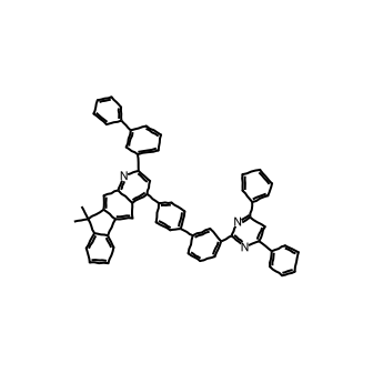 CC1(C)c2ccccc2-c2cc3c(-c4ccc(-c5cccc(-c6nc(-c7ccccc7)cc(-c7ccccc7)n6)c5)cc4)cc(-c4cccc(-c5ccccc5)c4)nc3cc21